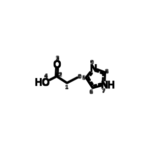 CCC(=O)O.c1c[nH]cn1